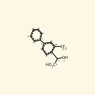 O=C(O)C(O)c1ccc(-c2ccccc2)cc1C(F)(F)F